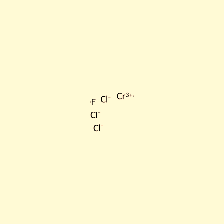 [Cl-].[Cl-].[Cl-].[Cr+3].[F]